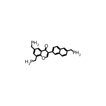 O=c1c(-c2ccc3cc(CP)ccc3c2)coc2c(CP)cc(CP)cc12